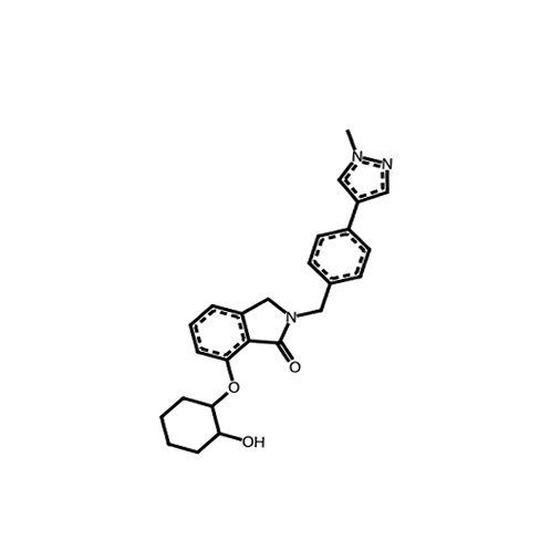 Cn1cc(-c2ccc(CN3Cc4cccc(OC5CCCCC5O)c4C3=O)cc2)cn1